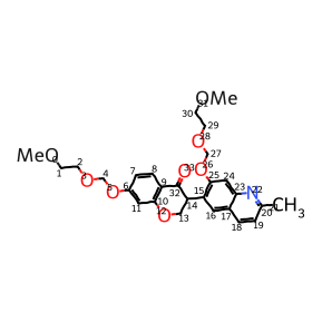 COCCOCOc1ccc2c(c1)OCC(c1cc3ccc(C)nc3cc1OCOCCOC)C2=O